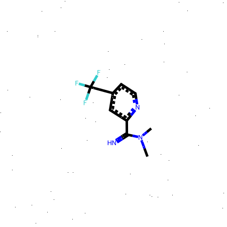 CN(C)C(=N)c1cc(C(F)(F)F)ccn1